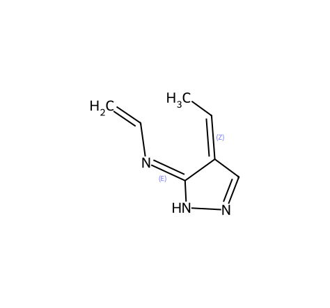 C=C/N=C1/NN=C/C1=C/C